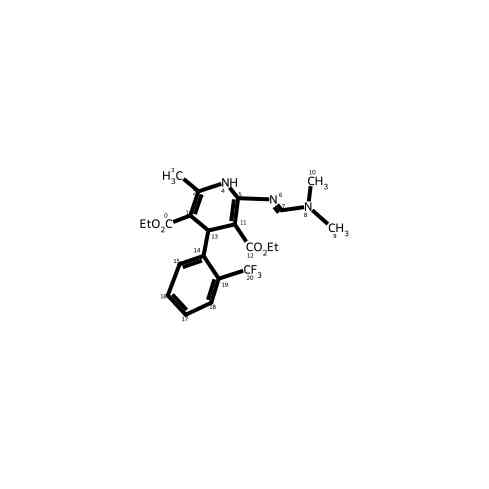 CCOC(=O)C1=C(C)NC(N=CN(C)C)=C(C(=O)OCC)C1c1ccccc1C(F)(F)F